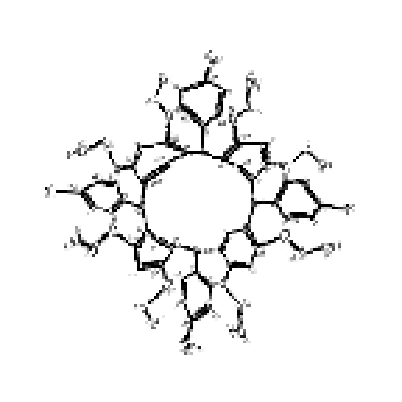 CC(C)c1ccc(C2c3cc(c(OSO)cc3OSO)C(c3ccc(C(C)C)cc3)c3cc(c(OSO)cc3OSO)C(c3ccc(C(C)C)cc3)c3cc(c(OSO)cc3OSO)C(c3ccc(C(C)C)cc3)c3cc2c(OSO)cc3OSO)cc1